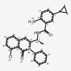 C[C@H](NC(=O)c1cc(C2CC2)ccc1N)c1cc2cccc(Cl)c2c(=O)n1-c1ccccc1